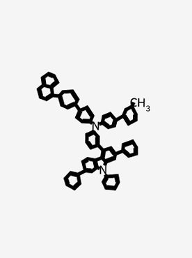 CC1C=CC=C(c2ccc(N(c3ccc(C4=CC=C(c5cccc6ccccc56)CC=C4)cc3)c3cccc(-c4cc(-c5ccccc5)cc5c4c4ccc(-c6ccccc6)cc4n5-c4ccccc4)c3)cc2)C1